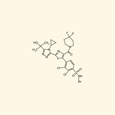 CC(C)NS(=O)(=O)c1ccc(-c2sc(-c3nnc(C(C)(C)O)n3C3CC3)nc2C(=O)N2CCC(F)(F)CC2)c(Cl)c1Cl